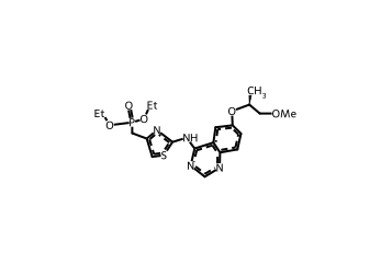 CCOP(=O)(Cc1csc(Nc2ncnc3ccc(O[C@@H](C)COC)cc23)n1)OCC